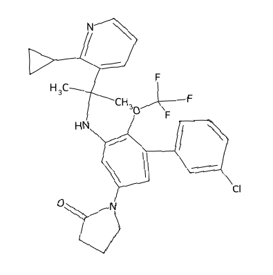 CC(C)(Nc1cc(N2CCCC2=O)cc(-c2cccc(Cl)c2)c1OC(F)(F)F)c1cccnc1C1CC1